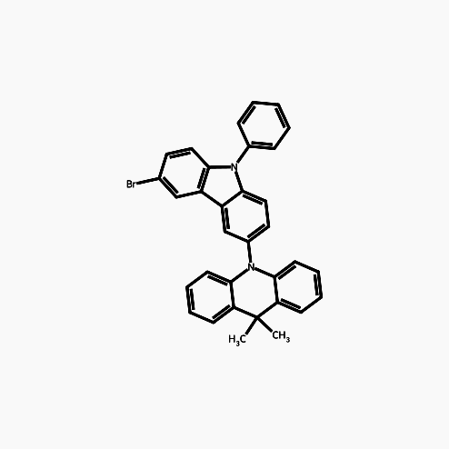 CC1(C)c2ccccc2N(c2ccc3c(c2)c2cc(Br)ccc2n3-c2ccccc2)c2ccccc21